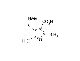 CNCc1c(C)oc(C)c1C(=O)O